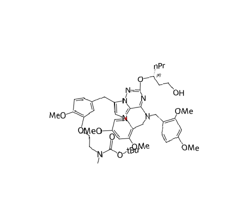 CCC[C@H](CCO)Oc1nc(N(Cc2ccc(OC)cc2OC)Cc2ccc(OC)cc2OC)c2ncc(Cc3ccc(OC)c(OCCN(C)C(=O)OC(C)(C)C)c3)n2n1